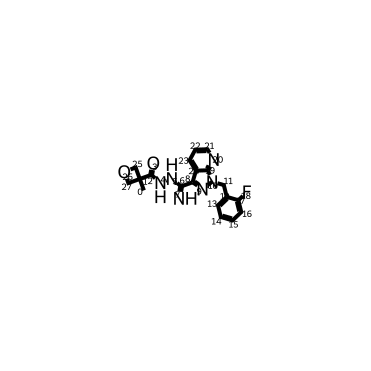 CC1(C(=O)NNC(=N)c2nn(Cc3ccccc3F)c3ncccc23)COC1